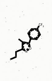 Cc1c(CCI)noc1-c1ccc(C(F)(F)F)cc1